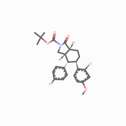 COc1ccc([C@@H]2CC[C@H]3C(=O)N(C(=O)OC(C)(C)C)C[C@H]3[C@H]2c2ccc(Cl)cc2)c(Cl)c1